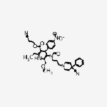 CCC1=C(C(=O)OCCC#N)C(c2ccc([N+](=O)[O-])cc2)C(N(C=O)CCCN2C=CC(C#N)(c3ccccc3)C=C2)=C(COC)N1